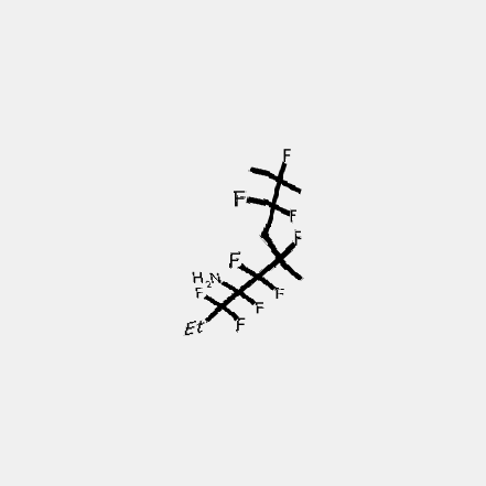 CCC(F)(F)C(N)(F)C(F)(F)C(C)(F)CC(F)(F)C(C)(C)F